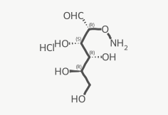 Cl.NO[C@@H](C=O)[C@@H](O)[C@H](O)[C@H](O)CO